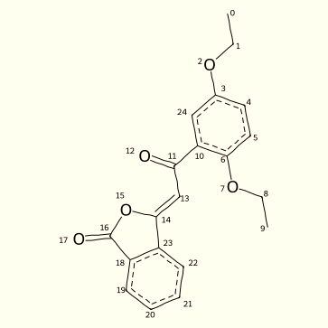 CCOc1ccc(OCC)c(C(=O)C=C2OC(=O)c3ccccc32)c1